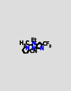 CCn1c([C@@H](C)N2CC=CC=C2C#N)nc2cnc(C(F)(F)F)cc21